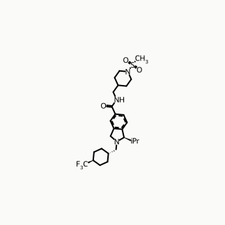 CC(C)[C@@H]1c2ccc(C(=O)NCC3CCN(S(C)(=O)=O)CC3)cc2CN1C[C@H]1CC[C@H](C(F)(F)F)CC1